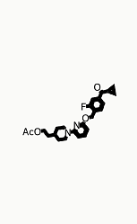 CC(=O)OCCC1CCN(c2cccc(OCc3ccc(C(=O)C4CC4)cc3F)n2)CC1